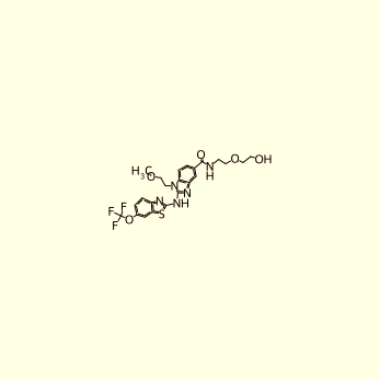 COCCn1c(Nc2nc3ccc(OC(F)(F)F)cc3s2)nc2cc(C(=O)NCCOCCO)ccc21